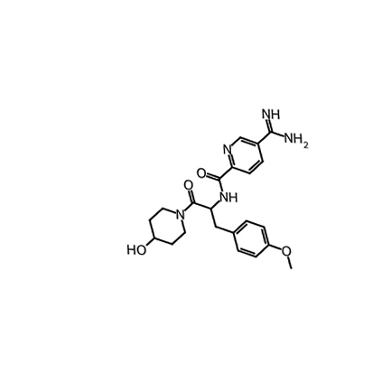 COc1ccc(CC(NC(=O)c2ccc(C(=N)N)cn2)C(=O)N2CCC(O)CC2)cc1